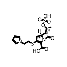 C[C@H](OS(=O)(=O)O)[C@@H]1C(=O)N2C(C(=O)O)=C(SCCn3cccc3)C[C@H]12